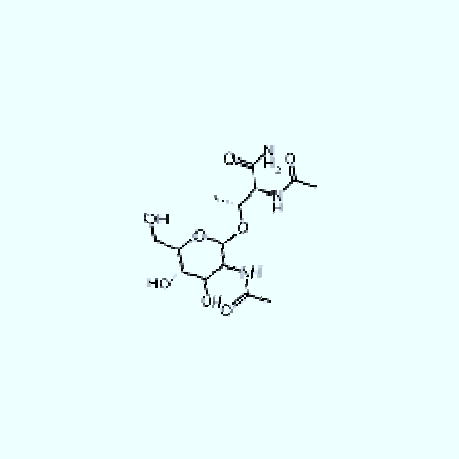 CC(=O)NC1C(O)[C@H](O)C(CO)O[C@H]1O[C@H](C)[C@H](NC(C)=O)C(N)=O